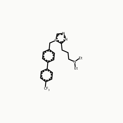 CCN(CC)CCCc1nncn1Cc1ccc(-c2ccc(C(F)(F)F)cc2)cc1